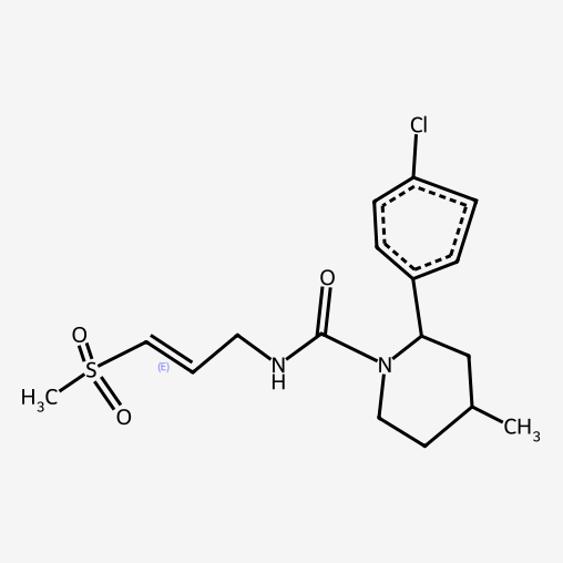 CC1CCN(C(=O)NC/C=C/S(C)(=O)=O)C(c2ccc(Cl)cc2)C1